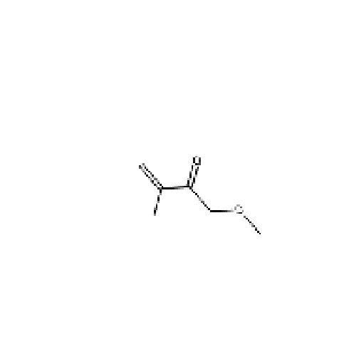 C=C(C)C(=O)COC